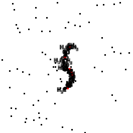 CCCc1cnc(N2CCC(Oc3nc4ccc(C5=CC(S(=O)(=O)CCC(C)(C)OC(=O)CCC(=O)OCC[Si](C)(C)C)NCC5)cc4s3)CC2)nc1